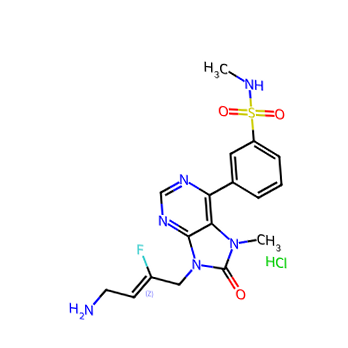 CNS(=O)(=O)c1cccc(-c2ncnc3c2n(C)c(=O)n3C/C(F)=C/CN)c1.Cl